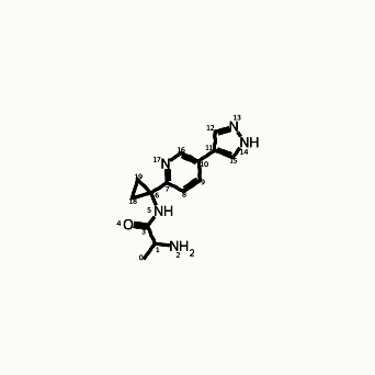 CC(N)C(=O)NC1(c2ccc(-c3cn[nH]c3)cn2)CC1